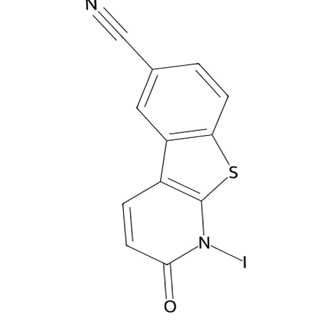 N#Cc1ccc2sc3c(ccc(=O)n3I)c2c1